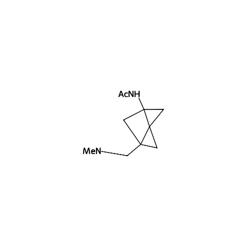 CNCC12CC3(NC(C)=O)CC13C2